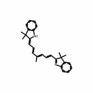 CC(C=CC=C1Nc2ccccc2C1(C)C)=CC=CC1=Nc2ccccc2C1(C)C